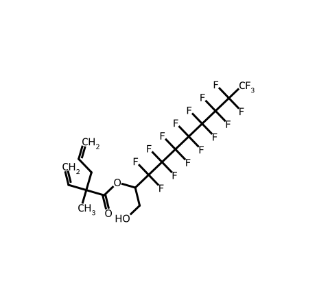 C=CCC(C)(C=C)C(=O)OC(CO)C(F)(F)C(F)(F)C(F)(F)C(F)(F)C(F)(F)C(F)(F)C(F)(F)C(F)(F)F